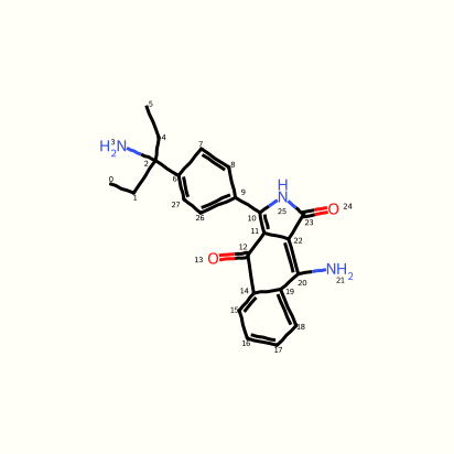 CCC(N)(CC)c1ccc(C2=C3C(=O)c4ccccc4C(N)=C3C(=O)N2)cc1